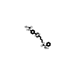 CC(C)(C)C(=O)Nc1ccc(-c2nnc(CCCCOC(=O)N(c3ccccc3)C(C)(C)C)nn2)cc1